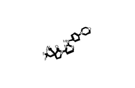 N#CC1(CC(F)(F)F)CCN(c2ccnc(Nc3ccc(N4CCOCC4)cc3)n2)C1=O